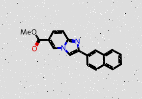 COC(=O)c1ccc2nc(-c3ccc4ccccc4c3)cn2c1